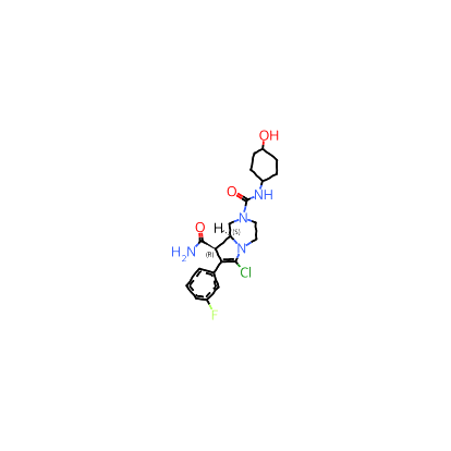 NC(=O)[C@@H]1C(c2cccc(F)c2)=C(Cl)N2CCN(C(=O)NC3CCC(O)CC3)C[C@H]12